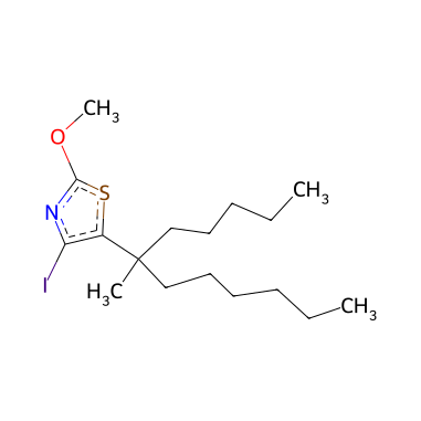 CCCCCCC(C)(CCCCC)c1sc(OC)nc1I